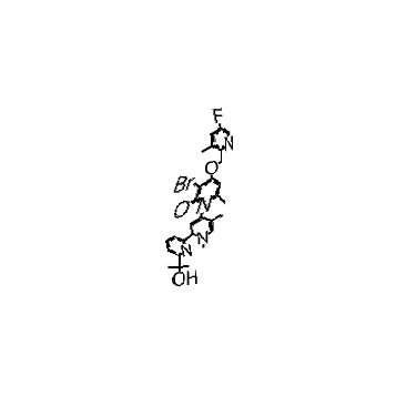 CC1=CN(C)C(c2cccc(C(C)(C)O)n2)C=C1n1c(C)cc(OCc2ncc(F)cc2C)c(Br)c1=O